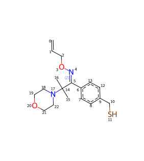 C=CCO/N=C(/c1ccc(CS)cc1)C(C)(C)N1CCOCC1